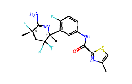 Cc1csc(C(=O)Nc2ccc(F)c([C@@]3(C)N=C(N)[C@@](C)(F)CC3(F)F)c2)n1